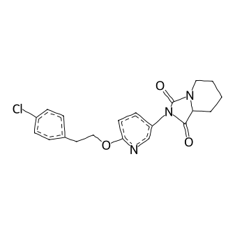 O=C1C2CCCCN2C(=O)N1c1ccc(OCCc2ccc(Cl)cc2)nc1